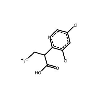 CCC(C(=O)O)c1ncc(Cl)cc1Cl